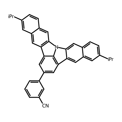 CC(C)c1ccc2cc3c(cc2c1)c1cc(-c2cccc(C#N)c2)cc2c4cc5cc(C(C)C)ccc5cc4n3c12